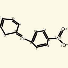 O=[N+]([O-])c1ccc(N=C2C=CC=CC2)cc1